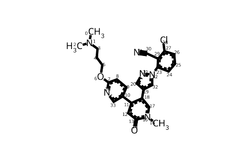 CN(C)CCCOc1ccc(-c2cc(=O)n(C)cc2-c2cnn(-c3cccc(Cl)c3C#N)c2)cn1